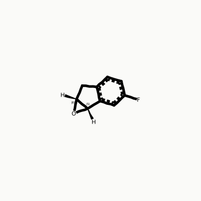 Fc1ccc2c(c1)[C@@H]1O[C@@H]1C2